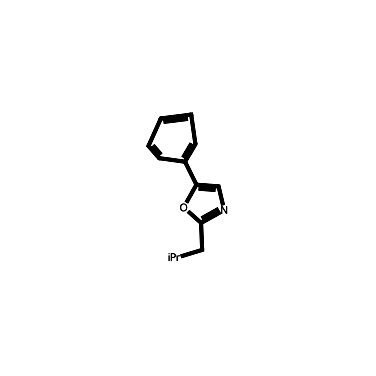 CC(C)Cc1ncc(-c2ccccc2)o1